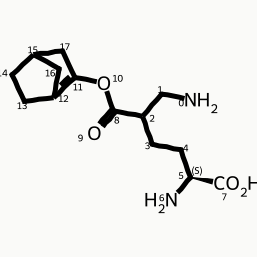 NCC(CC[C@H](N)C(=O)O)C(=O)OC1=C2CCC(C2)C1